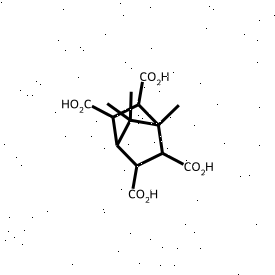 CC1(C)C2C(C(=O)O)C(C(=O)O)C1(C)C(C(=O)O)C2C(=O)O